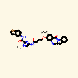 COc1cc2c(cc1OCCCC(=O)Nc1cn(C)c(C(=O)Nc3ccc4sccc4c3)n1)N=C[C@@H]1Cc3ccccc3N1C2=O